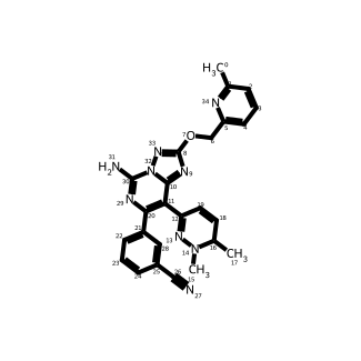 Cc1cccc(COc2nc3c(C4=NN(C)C(C)C=C4)c(-c4cccc(C#N)c4)nc(N)n3n2)n1